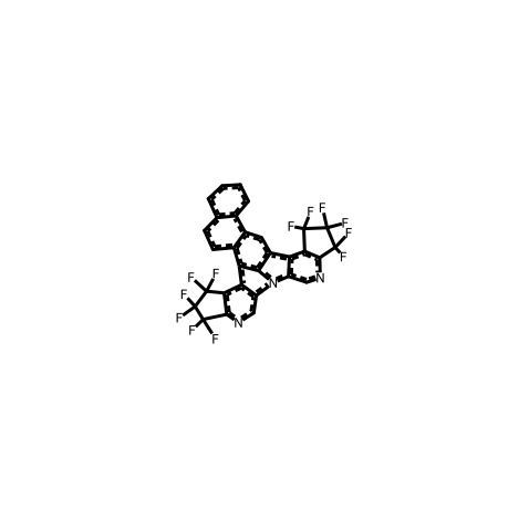 FC1(F)c2ncc3c(c2C(F)(F)C1(F)F)c1cc2c4ccccc4ccc2c2c4c5c(ncc4n3c12)C(F)(F)C(F)(F)C5(F)F